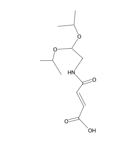 CC(C)OC(CNC(=O)C=CC(=O)O)OC(C)C